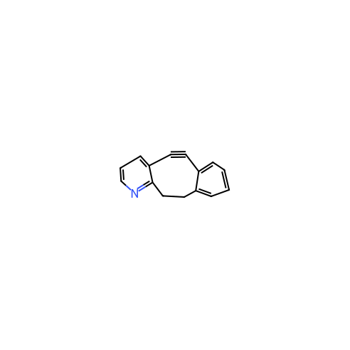 C1#Cc2cccnc2CCc2ccccc21